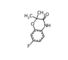 CC1(C)Oc2cc(F)ccc2NC1=O